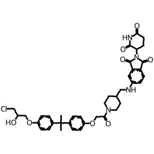 CC(C)(c1ccc(OCC(=O)N2CCC(CNc3ccc4c(c3)C(=O)N(C3CCC(=O)NC3=O)C4=O)CC2)cc1)c1ccc(OCC(O)CCl)cc1